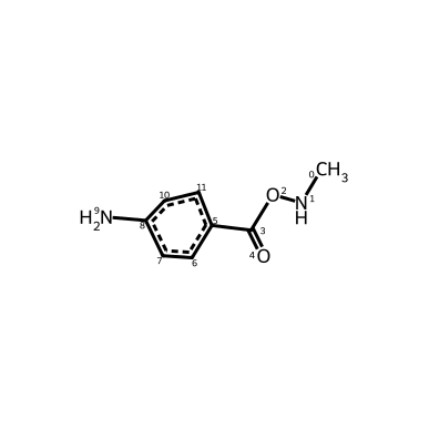 CNOC(=O)c1ccc(N)cc1